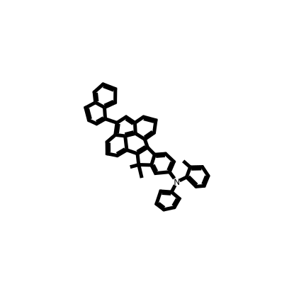 Cc1ccccc1N(c1ccccc1)c1ccc2c(c1)C(C)(C)c1c-2c2cccc3cc(-c4cccc5ccccc45)c4cccc1c4c32